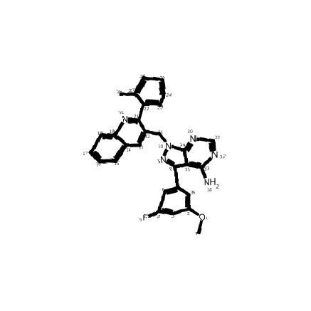 COc1cc(F)cc(-c2nn(Cc3cc4ccccc4nc3-c3ccccc3C)c3ncnc(N)c23)c1